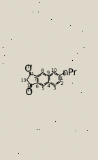 CCCc1ccc2cc3c(cc2c1)C(=O)CC3=O